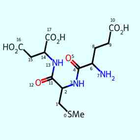 CSCC(NC(=O)C(N)CCC(=O)O)C(=O)NC(CC(=O)O)C(=O)O